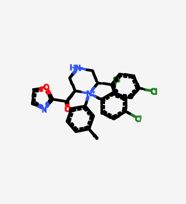 Cc1cccc([N+]2(c3ccc(Cl)cc3Cl)C(C(=O)c3ncco3)CNCC2c2ccc(Cl)cc2)c1